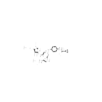 Cc1cc(NC2=CN(Sc3ccc(NC(=O)C4CC4)cc3)CC3=NC=C(N)[N+]23)n[nH]1